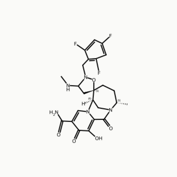 CNC1C[C@]2(CC[C@H](C)N3C[C@H]2n2cc(C(N)=O)c(=O)c(O)c2C3=O)ON1Cc1c(F)cc(F)cc1F